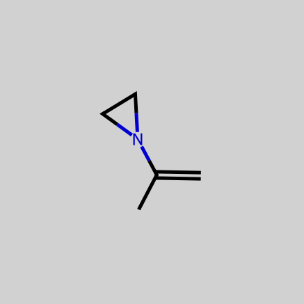 C=C(C)N1CC1